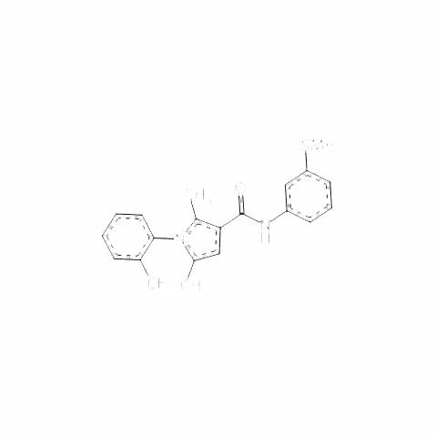 CSc1cccc(NC(=O)c2cc(C)n(-c3ccccc3C(F)(F)F)c2C)c1